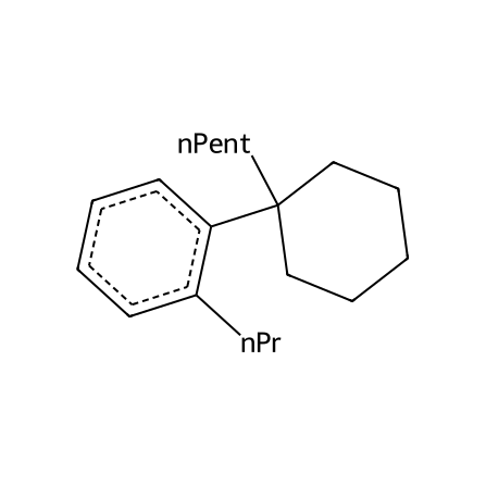 CCCCCC1(c2ccccc2CCC)CCCCC1